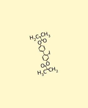 C=C(C)C(=O)Oc1ccc(-c2ccc(OC(=O)C(=C)C)cc2I)cc1